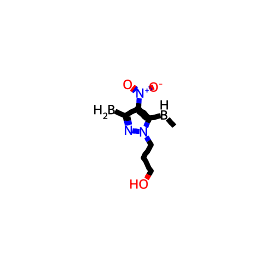 Bc1nn(CCCO)c(BC)c1[N+](=O)[O-]